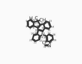 CC1(C)c2ccccc2-c2c1c1ccccc1c1c2c2ccccc2n1-c1cccc2ncoc12